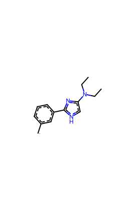 [CH2]c1cccc(-c2nc(N(CC)CC)c[nH]2)c1